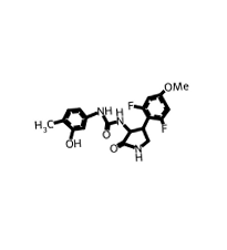 COc1cc(F)c(C2CNC(=O)C2NC(=O)Nc2ccc(C)c(O)c2)c(F)c1